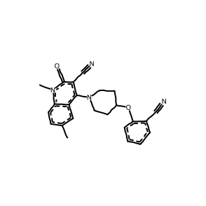 Cc1ccc2c(c1)c(N1CCC(Oc3ccccc3C#N)CC1)c(C#N)c(=O)n2C